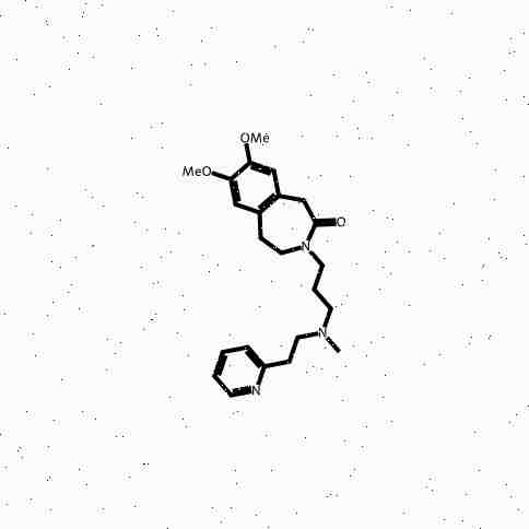 COc1cc2c(cc1OC)CC(=O)N(CCCN(C)CCc1ccccn1)CC2